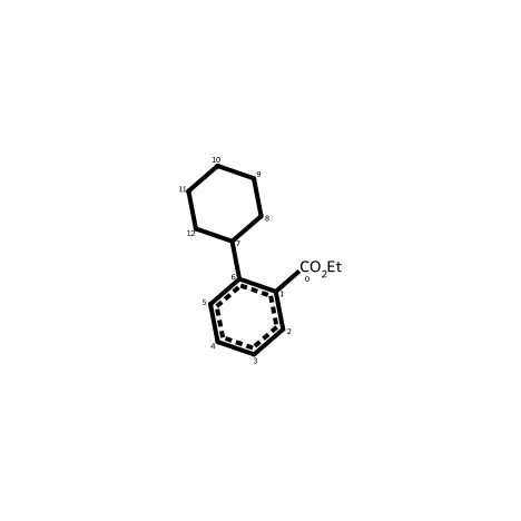 CCOC(=O)c1ccccc1C1CCCCC1